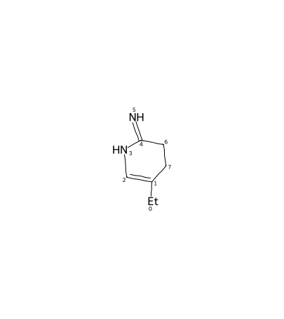 CCC1=CNC(=N)CC1